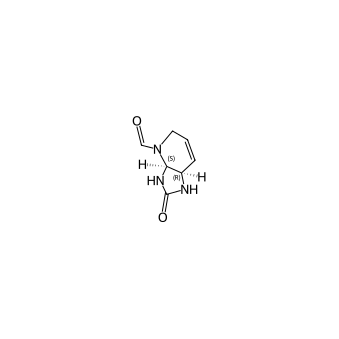 O=CN1CC=C[C@H]2NC(=O)N[C@H]21